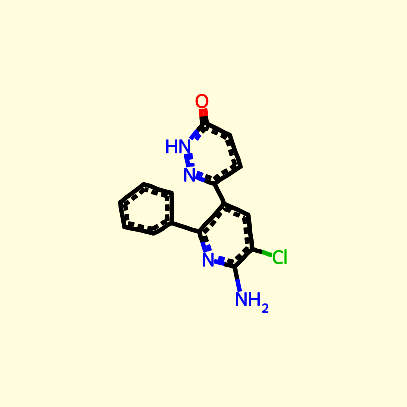 Nc1nc(-c2ccccc2)c(-c2ccc(=O)[nH]n2)cc1Cl